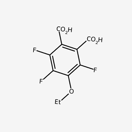 CCOc1c(F)c(F)c(C(=O)O)c(C(=O)O)c1F